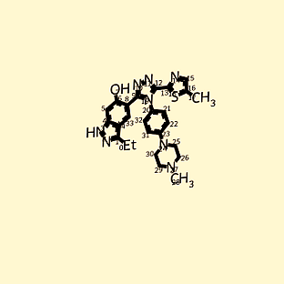 CCc1n[nH]c2cc(O)c(-c3nnc(-c4ncc(C)s4)n3-c3ccc(N4CCN(C)CC4)cc3)cc12